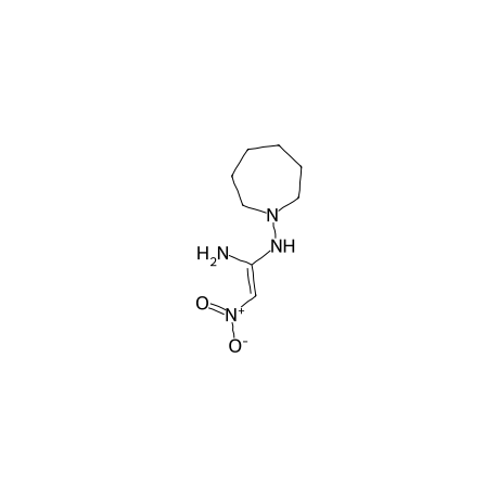 NC(=C[N+](=O)[O-])NN1CCCCCC1